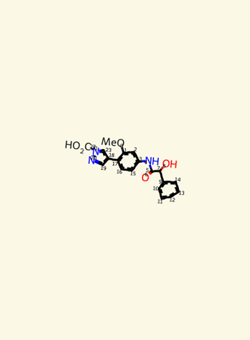 COc1cc(NC(=O)C(O)c2ccccc2)ccc1-c1cnn(C(=O)O)c1